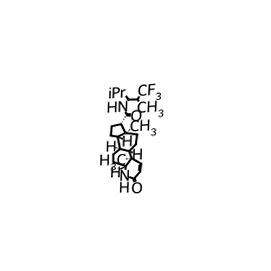 CC(C)C(NC(=O)[C@H]1CC[C@H]2[C@@H]3CC[C@H]4NC(=O)C=C[C@]4(C)[C@H]3CC[C@]12C)C(C)C(F)(F)F